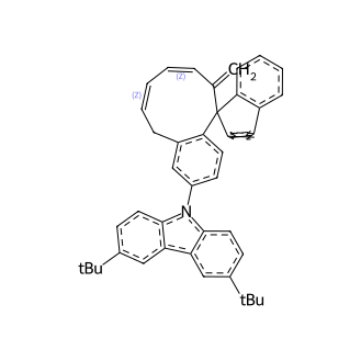 C=C1/C=C\C=C/Cc2cc(-n3c4ccc(C(C)(C)C)cc4c4cc(C(C)(C)C)ccc43)ccc2C12c1ccccc1-c1ccccc12